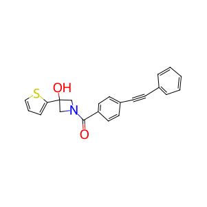 O=C(c1ccc(C#Cc2ccccc2)cc1)N1CC(O)(c2cccs2)C1